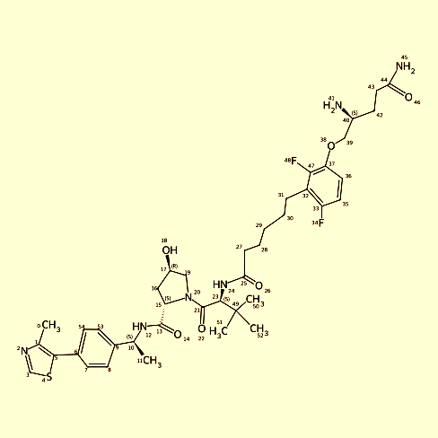 Cc1ncsc1-c1ccc([C@H](C)NC(=O)[C@@H]2C[C@@H](O)CN2C(=O)[C@@H](NC(=O)CCCCCc2c(F)ccc(OC[C@@H](N)CCC(N)=O)c2F)C(C)(C)C)cc1